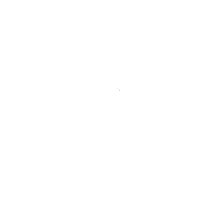 FC(F)(F)c1ccc(-c2cc[c]cc2)cn1